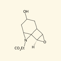 CCOC(=O)N1C2CC(O)CC3C4O[C@H]4C321